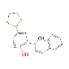 CC(/C=C\c1ccccc1)c1cc(C2SCCS2)ccc1O